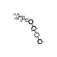 N=C(N)NC(=O)NCc1cccc(-c2cnc(N3CCN(c4cccnc4)CC3)nc2)c1